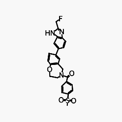 CS(=O)(=O)c1ccc(C(=O)N2CCOc3ccc(-c4ccc5nc(CF)[nH]c5c4)cc3C2)cc1